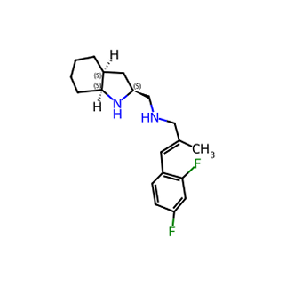 CC(=Cc1ccc(F)cc1F)CNC[C@@H]1C[C@@H]2CCCC[C@@H]2N1